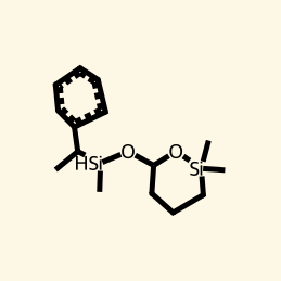 CC(c1ccccc1)[SiH](C)OC1CCC[Si](C)(C)O1